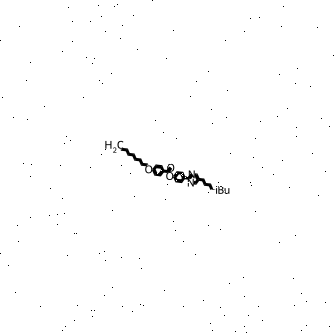 C=CCCCCCCCOc1ccc(C(=O)Oc2ccc(-c3ncc(CCCC[C@@H](C)CC)cn3)cc2)cc1